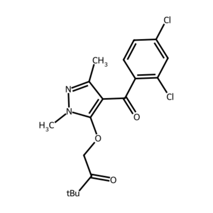 Cc1nn(C)c(OCC(=O)C(C)(C)C)c1C(=O)c1ccc(Cl)cc1Cl